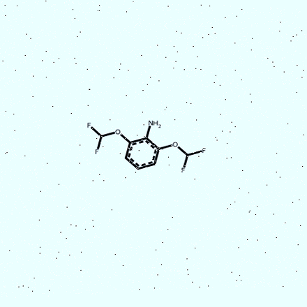 Nc1c(OC(F)F)cccc1OC(F)F